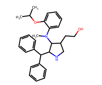 CC(C)Oc1ccccc1N(C)C1C(CCO)CNC1C(c1ccccc1)c1ccccc1